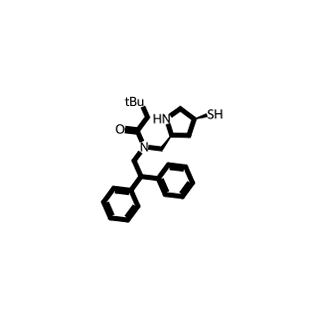 CC(C)(C)CC(=O)N(CC(c1ccccc1)c1ccccc1)C[C@@H]1C[C@H](S)CN1